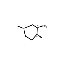 C[C@H]1CCN(C)C[C@H]1N